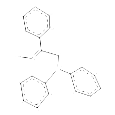 ON=C(CP(c1ccccc1)c1ccccc1)c1ccccc1